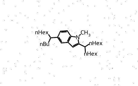 CCCCCCC(CCCC)c1ccc2c(c1)cc(C(CCCCCC)CCCCCC)n2C